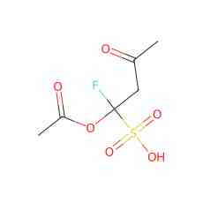 CC(=O)CC(F)(OC(C)=O)S(=O)(=O)O